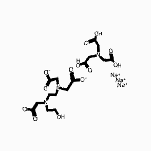 O=C(O)CN(CC(=O)O)CC(=O)O.O=C([O-])CN(CCO)CCN(CC(=O)[O-])CC(=O)[O-].[Na+].[Na+].[Na+]